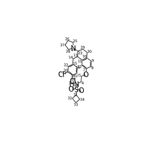 O=S(=O)(NCCOc1ccc2c(c1)C(Cc1ccc(Cl)c(Cl)c1)C(N1CCCC1)CC2)C1CCC1